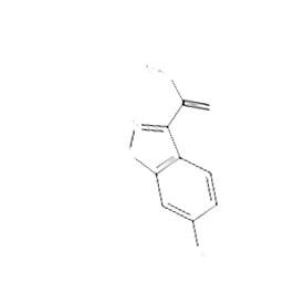 COC(=O)c1noc2cc(Br)ccc12